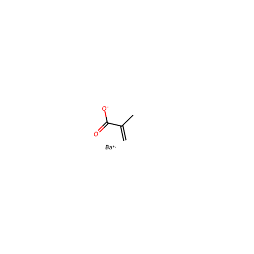 C=C(C)C(=O)[O-].[Ba+]